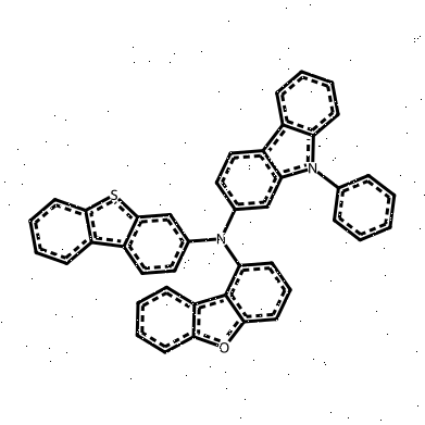 c1ccc(-n2c3ccccc3c3ccc(N(c4ccc5c(c4)sc4ccccc45)c4cccc5oc6ccccc6c45)cc32)cc1